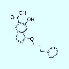 O=C(O)c1cc2cccc(OCCCc3ccccc3)c2cc1O